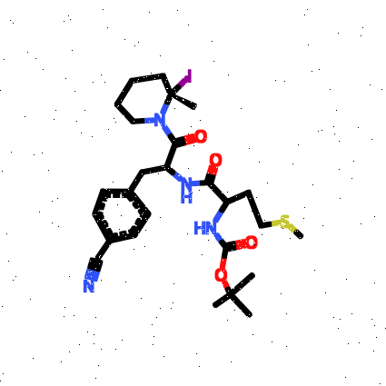 CSCCC(NC(=O)OC(C)(C)C)C(=O)NC(Cc1ccc(C#N)cc1)C(=O)N1CCCC[C@]1(C)I